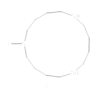 Cl.[Ti][N]1CCCCNCCCCNCCCC1